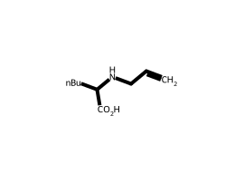 C=CCNC(CCCC)C(=O)O